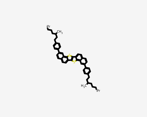 CC(C)CCCC(C)CCc1ccc(-c2ccc3ccc4c(sc5c6ccc7ccc(-c8ccc(CCC(C)CCCC(C)C)cc8)cc7c6sc45)c3c2)cc1